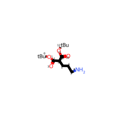 CC(C)(C)OC(=O)C(CCCN)C(=O)OC(C)(C)C